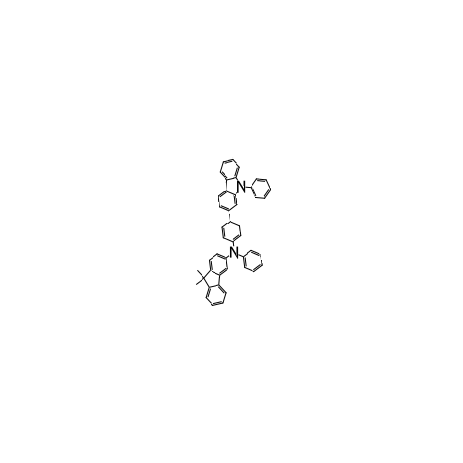 CC1(C)c2ccccc2-c2cc(N(C3=CCC(c4ccc5c6ccccc6n(-c6ccccc6)c5c4)C=C3)c3ccccc3)ccc21